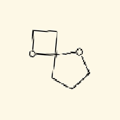 C1COC2(C1)CCO2